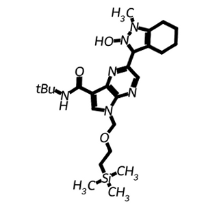 CN1C2=C(CCCC2)C(c2cnc3c(n2)c(C(=O)NC(C)(C)C)cn3COCC[Si](C)(C)C)N1O